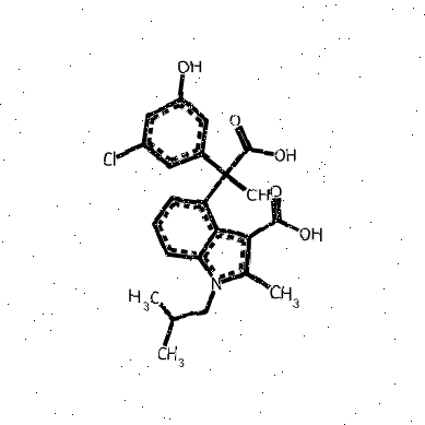 Cc1c(C(=O)O)c2c(C(C)(C(=O)O)c3cc(O)cc(Cl)c3)cccc2n1CC(C)C